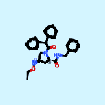 CCO/N=C1\C[C@@H](C(=O)NCc2ccccc2)N(C(=O)C(c2ccccc2)c2ccccc2)C1